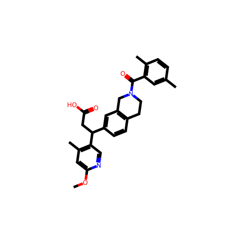 COc1cc(C)c(C(CC(=O)O)c2ccc3c(c2)CN(C(=O)c2cc(C)ccc2C)CC3)cn1